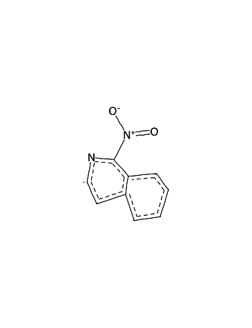 O=[N+]([O-])c1n[c]cc2ccccc12